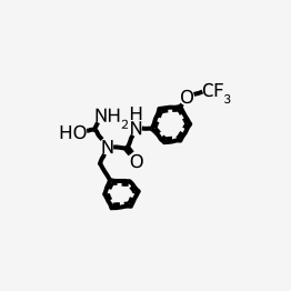 NC(O)N(Cc1ccccc1)C(=O)Nc1cccc(OC(F)(F)F)c1